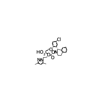 Cc1cc(C)n(CCOC(=O)ON2CCc3ccccc3[C@H]2c2cc(Cl)ccc2OCC(=O)O)n1